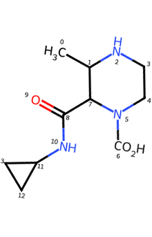 CC1NCCN(C(=O)O)C1C(=O)NC1CC1